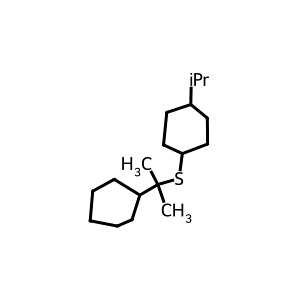 CC(C)C1CCC(SC(C)(C)C2CCCCC2)CC1